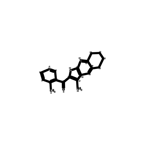 Cc1ccncc1C(=O)c1oc2nc3c(cc2c1N)CCCC3